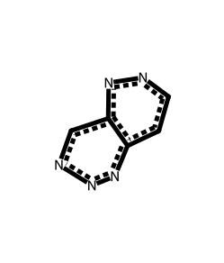 c1cc2nnncc2nn1